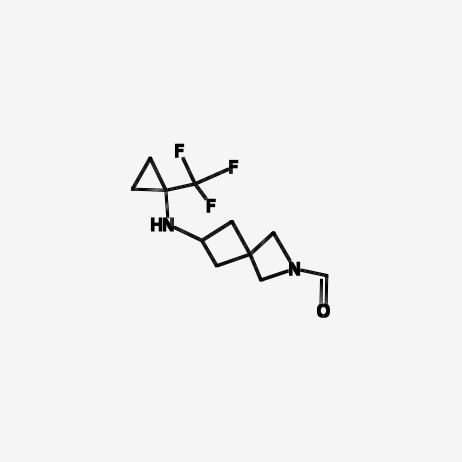 O=CN1CC2(CC(NC3(C(F)(F)F)CC3)C2)C1